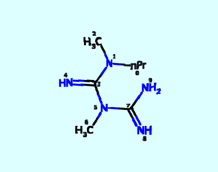 CCCN(C)C(=N)N(C)C(=N)N